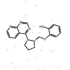 Oc1ccccc1OC[C@H]1CCCN1c1ncnc2ncccc12